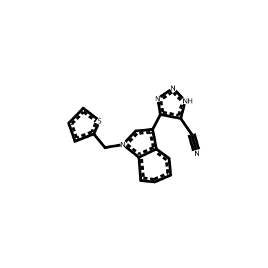 N#Cc1[nH]nnc1-c1cn(Cc2cccs2)c2ccccc12